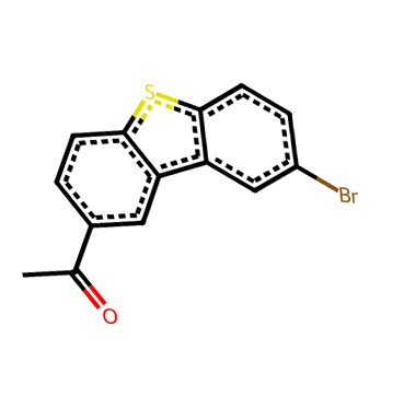 CC(=O)c1ccc2sc3ccc(Br)cc3c2c1